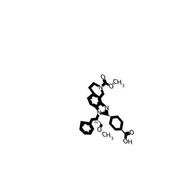 COC[C@H](Cc1ccccc1)n1c2ccc3c(c2nc1[C@H]1CC[C@H](C(=O)O)CC1)CN(C(=O)OC)CC3